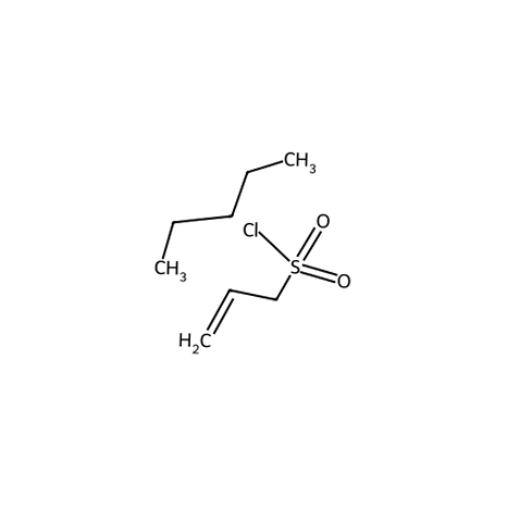 C=CCS(=O)(=O)Cl.CCCCC